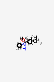 Cc1ccc(C(=O)Nc2ccccc2)c(C)c1C